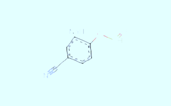 N#Cc1ccc(O[SH]=O)cc1.[NaH]